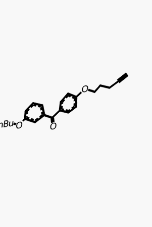 C#CCCCOc1ccc(C(=O)c2cccc(OCCCC)c2)cc1